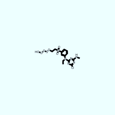 CCN(c1cccc(S(=O)(=O)CCOSOOO)c1)c1nc(Cl)nc(NC)n1